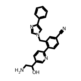 N#Cc1ccc(-c2ccc(C(O)CN)cn2)c(Cn2cnc(-c3ccccc3)c2)c1